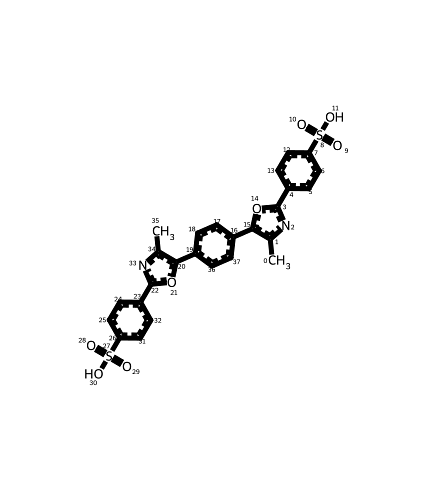 Cc1nc(-c2ccc(S(=O)(=O)O)cc2)oc1-c1ccc(-c2oc(-c3ccc(S(=O)(=O)O)cc3)nc2C)cc1